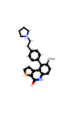 COc1ccc2[nH]c(=O)c3sccc3c2c1-c1ccc(CCN2CCCC2)cc1